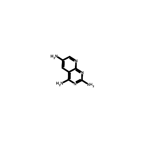 Nc1cnc2nc(N)nc(N)c2c1